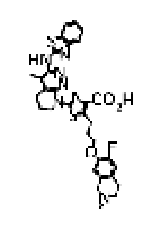 Cc1c(Nc2nc3ccccc3s2)nnc2c1CCCN2c1nc(C(=O)O)c(CCCOc2cc3c(cc2F)CCN(C)C3)s1